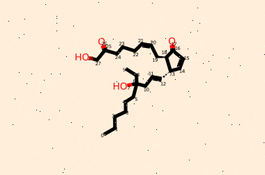 CCCCCCC(O)(CC)C/C=C/[C@H]1C=CC(=O)[C@@H]1C/C=C\CCCC(=O)CO